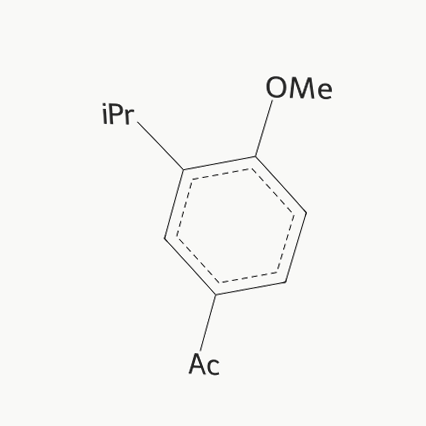 COc1ccc(C(C)=O)cc1C(C)C